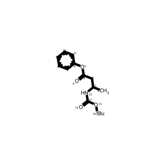 CC(CC(=O)Oc1ccccc1)NC(=O)OC(C)(C)C